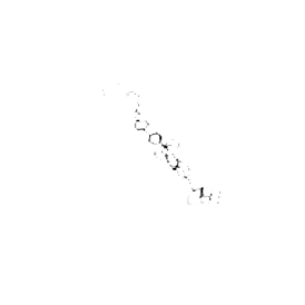 CC/C=C\CCCCOc1ccc(-c2ccc(C(=O)Oc3ccc(OCCC[C@@H](C)CC)cc3)cc2)cc1